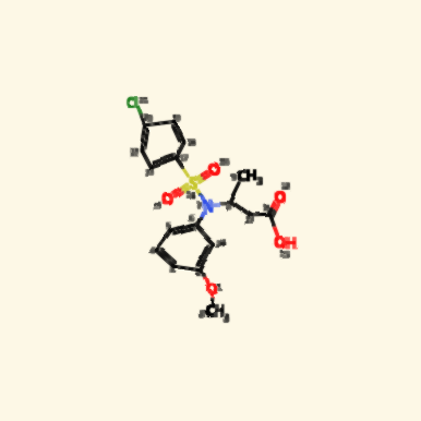 COc1cccc(N(C(C)CC(=O)O)S(=O)(=O)c2ccc(Cl)cc2)c1